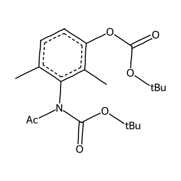 CC(=O)N(C(=O)OC(C)(C)C)c1c(C)ccc(OC(=O)OC(C)(C)C)c1C